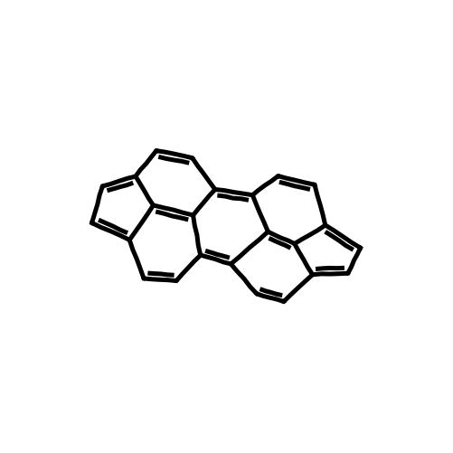 C1=c2ccc3c4ccc5c6c(ccc(c7ccc(c2c37)=C1)c64)=CC=5